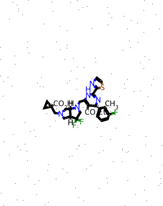 CCOC(=O)C1=C(CN2CC(F)(F)[C@@H]3CN(CC4(C(=O)O)CC4)C[C@@H]32)NC(c2nccs2)=N[C@H]1c1cccc(F)c1C